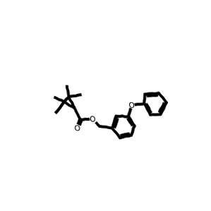 CC1(C)C(C(=O)OCc2cccc(Oc3ccccc3)c2)C1(C)C